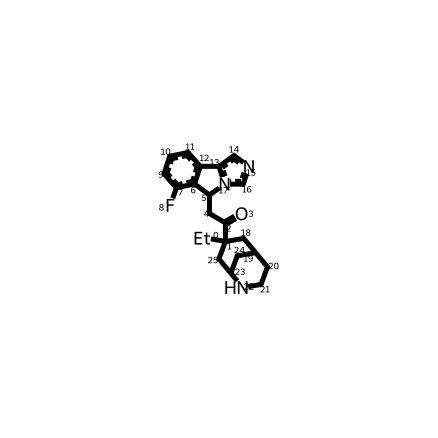 CCC1(C(=O)CC2c3c(F)cccc3-c3cncn32)CC2CCNC(C2)C1